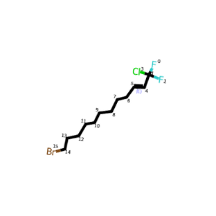 FC(F)(Cl)/C=C/CCCCCCCCCBr